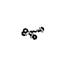 c1cnc(CNCCCCN(Cc2nc3ccccc3[nH]2)C2CCCc3cccnc32)nc1